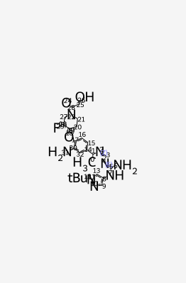 CC(/N=C\N=C(/N)Nc1cnn(C(C)(C)C)c1)c1ccc(O[C@H]2CCN(C(=O)CO)C[C@H]2F)c(N)c1